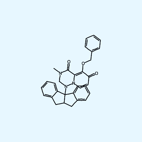 CN1CN(C23c4ccccc4CC2Cc2ccccc23)n2ccc(=O)c(OCc3ccccc3)c2C1=O